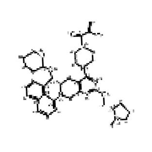 C=C(F)C(=O)N1CCN(c2nc(OC[C@@H]3CCCN3C)nc3c2CCN(c2cccc4cccc(COC5CCCCO5)c24)C3)CC1